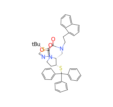 CC(C)(C)OC(=O)N1CC[C@@H](SC(c2ccccc2)(c2ccccc2)c2ccccc2)[C@H]1CN(CCc1cccc2ccccc12)C(=O)c1cncs1